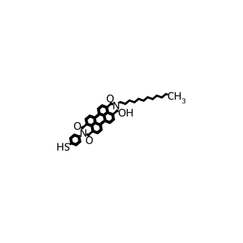 CCCCCCCCCCCCN1C(=O)c2ccc3c4ccc5c6c(ccc(c7ccc(c2c37)C1O)c64)C(=O)N(c1ccc(S)cc1)C5=O